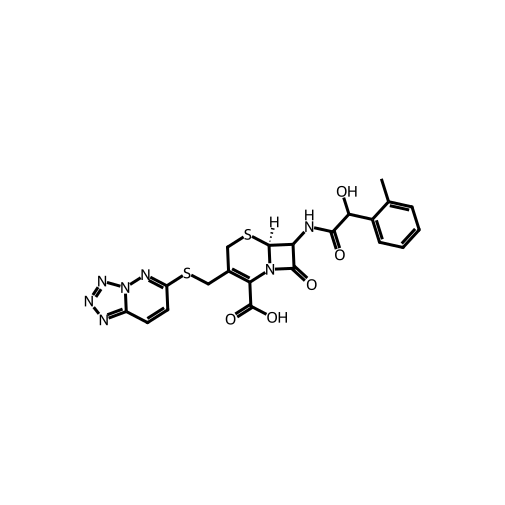 Cc1ccccc1C(O)C(=O)NC1C(=O)N2C(C(=O)O)=C(CSc3ccc4nnnn4n3)CS[C@@H]12